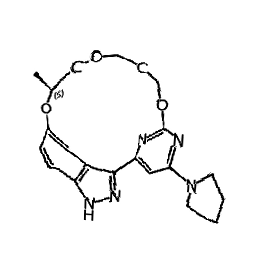 C[C@H]1COCCCOc2nc(cc(N3CCCC3)n2)-c2n[nH]c3ccc(cc23)O1